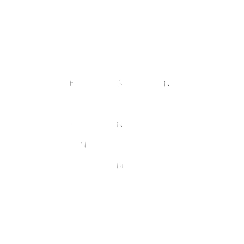 N#CSc1nc(Br)ncc1F